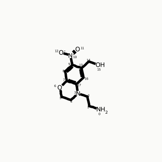 NCCN1CCOc2cc([N+](=O)[O-])c(CO)cc21